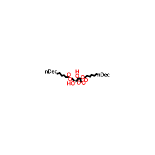 CCCCCCCCCCCCCCCC(=O)OCC(O)[C@H]1OC(=O)C(OC(=O)CCCCCCCCCCCCCCC)=C1O